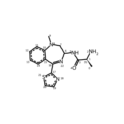 C[C@H](N)C(=O)NC1CN(C)c2ccccc2C(c2nccs2)=N1